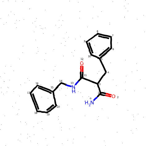 NC(=O)C(Cc1ccccc1)C(=O)NCc1ccccc1